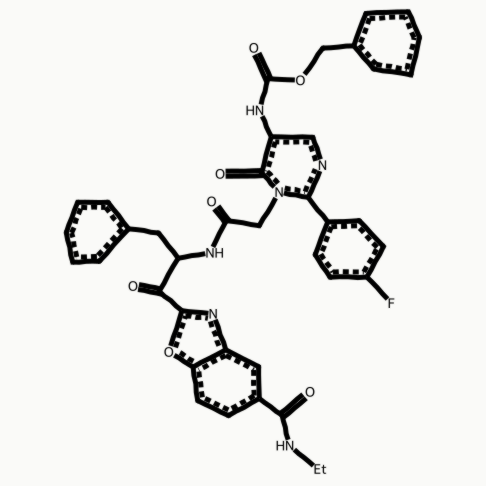 CCNC(=O)c1ccc2oc(C(=O)C(Cc3ccccc3)NC(=O)Cn3c(-c4ccc(F)cc4)ncc(NC(=O)OCc4ccccc4)c3=O)nc2c1